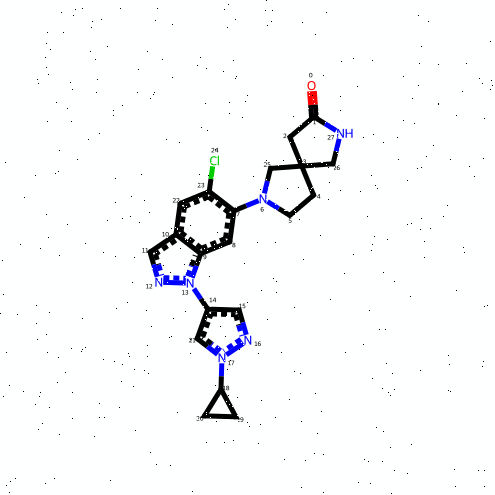 O=C1CC2(CCN(c3cc4c(cnn4-c4cnn(C5CC5)c4)cc3Cl)C2)CN1